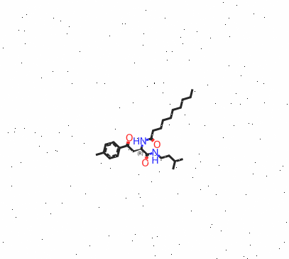 CCCCCCCCCC(=O)N[C@H](CC(=O)c1ccc(C)cc1)C(=O)N[CH]CC(C)C